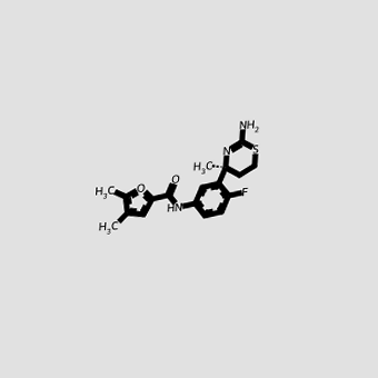 Cc1cc(C(=O)Nc2ccc(F)c([C@]3(C)CCSC(N)=N3)c2)oc1C